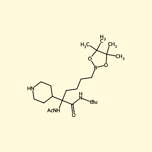 CC(=O)NC(CCCCB1OC(C)(C)C(C)(C)O1)(C(=O)NC(C)(C)C)C1CCNCC1